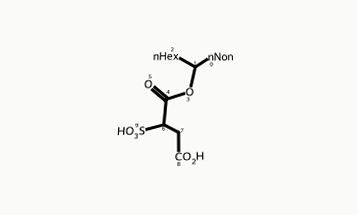 CCCCCCCCCC(CCCCCC)OC(=O)C(CC(=O)O)S(=O)(=O)O